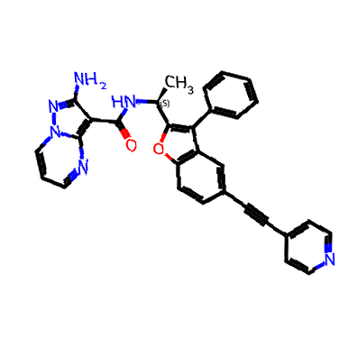 C[C@H](NC(=O)c1c(N)nn2cccnc12)c1oc2ccc(C#Cc3ccncc3)cc2c1-c1ccccc1